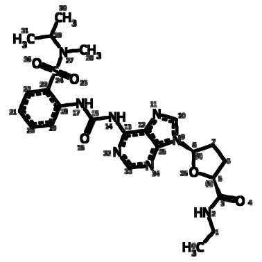 CCNC(=O)[C@@H]1CC[C@H](n2cnc3c(NC(=O)Nc4ccccc4S(=O)(=O)N(C)C(C)C)ncnc32)O1